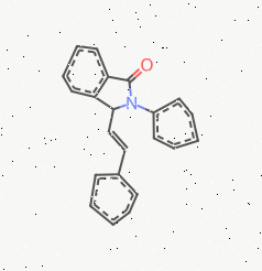 O=C1c2ccccc2C(C=Cc2ccccc2)N1c1ccccc1